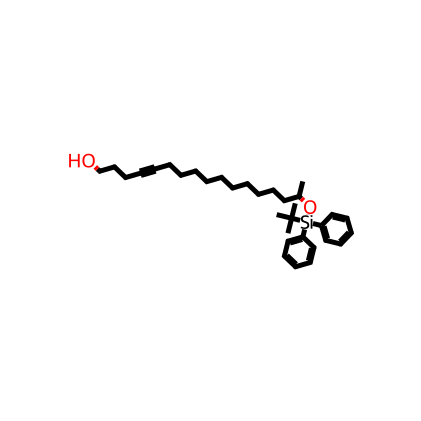 CC(CCCCCCCCCCC#CCCCO)O[Si](c1ccccc1)(c1ccccc1)C(C)(C)C